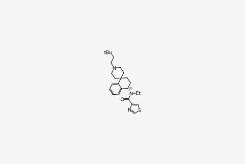 CCN(C(=O)c1cscn1)[C@H]1CCC2(CCN(CCC(C)(C)C)CC2)c2ccccc21